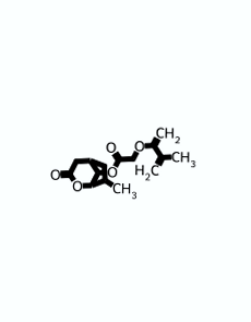 C=C(C)C(=C)OCC(=O)OC1C2CC(=O)OC1C(C)C2